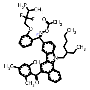 CCCCC(CC)Cn1c2ccc(/C(=N\OC(C)=O)c3ccccc3OCC(F)(F)C(C)P)cc2c2cc(C(=O)c3c(C)cc(C)cc3C)c3ccccc3c21